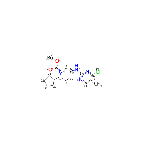 CC(C)(C)OC(=O)N1C[C@@H](Nc2ncc(C(F)(F)F)c(Cl)n2)CCC1C1CCCC1